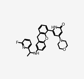 CC(Nc1ccc2c(c1)Cc1cccc(-c3cc(N4CCOCC4)cc(=O)[nH]3)c1O2)c1cccc(F)n1